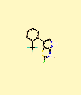 FC(F)(F)c1ccccc1-c1c[nH]c2nc(Cl)sc12